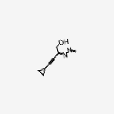 C=N/N=C(/C#CC1CC1)CO